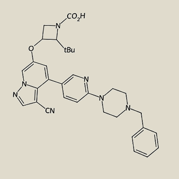 CC(C)(C)C1C(Oc2cc(-c3ccc(N4CCN(Cc5ccccc5)CC4)nc3)c3c(C#N)cnn3c2)CN1C(=O)O